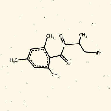 Cc1cc(C)c(C(=O)[P](=O)C(C)CC(C)C)c(C)c1